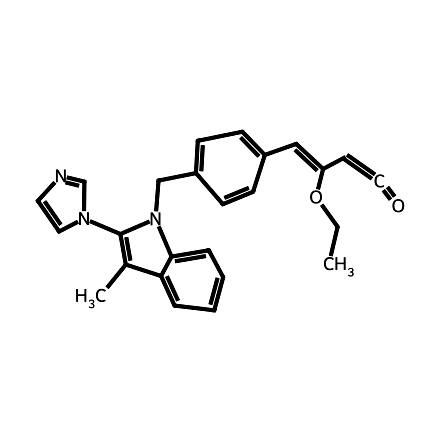 CCOC(C=C=O)=Cc1ccc(Cn2c(-n3ccnc3)c(C)c3ccccc32)cc1